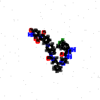 C[C@@]12Cc3[nH]nc(C(=O)Nc4cnn([C@H](c5ccccc5)C5CN(C(=O)N6CCC7(CCN(c8ccc9c(c8)C(=O)N(C8CCC(=O)NC8=O)C9=O)CC7)C6)C5)c4)c3C[C@@H]1C2(F)F